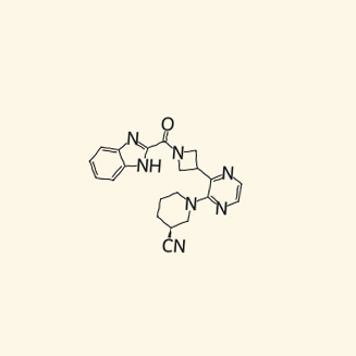 N#C[C@H]1CCCN(c2nccnc2C2CN(C(=O)c3nc4ccccc4[nH]3)C2)C1